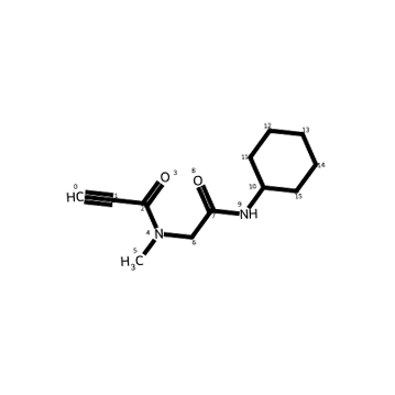 C#CC(=O)N(C)CC(=O)NC1CCCCC1